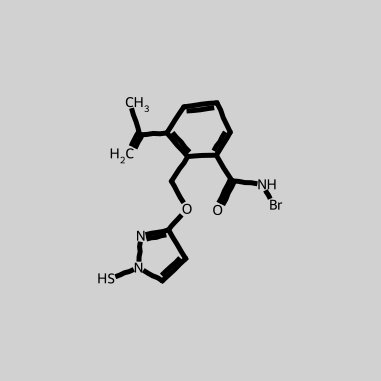 C=C(C)c1cccc(C(=O)NBr)c1COc1ccn(S)n1